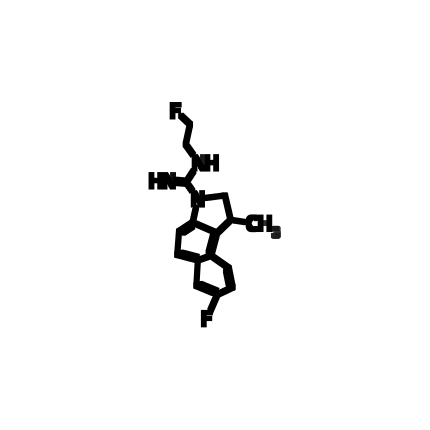 CC1CN(C(=N)NCCF)c2ccc3cc(F)ccc3c21